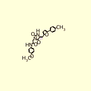 COc1ccc(NC(=O)CN2C(=O)N/C(=C\c3ccc(-c4ccc(C)cc4)o3)C2=O)cc1